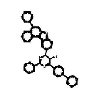 CCC1C(c2ccc(-c3ccccc3)cc2)=NC(c2ccccc2)=NC1c1ccc2oc3cc(-c4ccccc4)c4ccccc4c3c2c1